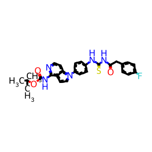 CC(C)(C)OC(=O)Nc1nccc2c1ccn2-c1ccc(NC(=S)NC(=O)Cc2ccc(F)cc2)cc1